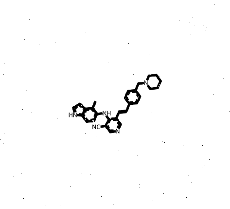 Cc1c(Nc2c(C#N)cncc2/C=C/c2ccc(CN3CCCCC3)cc2)ccc2[nH]ccc12